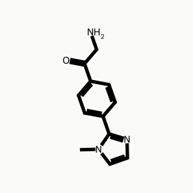 Cn1ccnc1-c1ccc(C(=O)CN)cc1